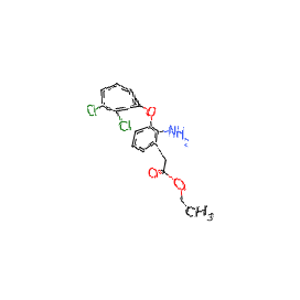 CCOC(=O)Cc1cccc(Oc2cccc(Cl)c2Cl)c1N